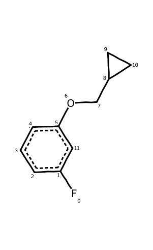 Fc1cc[c]c(OCC2CC2)c1